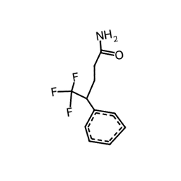 NC(=O)CCC(c1ccccc1)C(F)(F)F